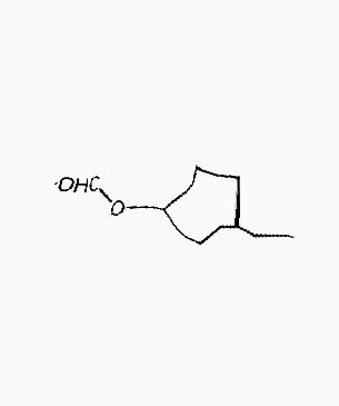 CC1CCC(O[C]=O)C1